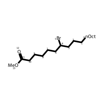 CCCCCCCCCCCC(Br)CCCCCC(=O)OC